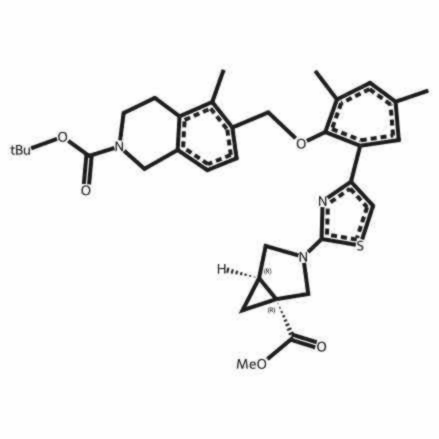 COC(=O)[C@]12C[C@H]1CN(c1nc(-c3cc(C)cc(C)c3OCc3ccc4c(c3C)CCN(C(=O)OC(C)(C)C)C4)cs1)C2